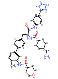 Cc1ccc(-c2ccc(C[C@H](NC(=O)[C@H]3CC[C@H](CN)CC3)C(=O)Nc3ccc(-c4nn[nH]n4)cc3)cc2)cc1NC(=O)C1CCOCC1